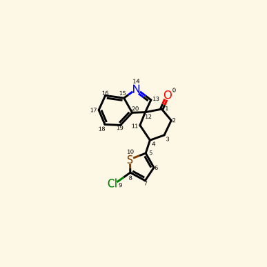 O=C1CCC(c2ccc(Cl)s2)CC12C=Nc1ccccc12